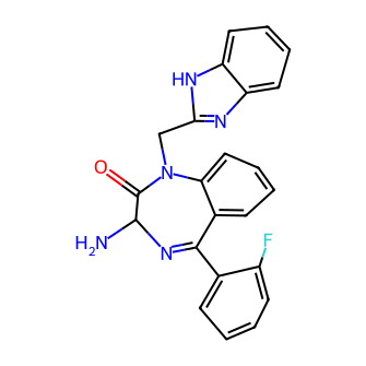 NC1N=C(c2ccccc2F)c2ccccc2N(Cc2nc3ccccc3[nH]2)C1=O